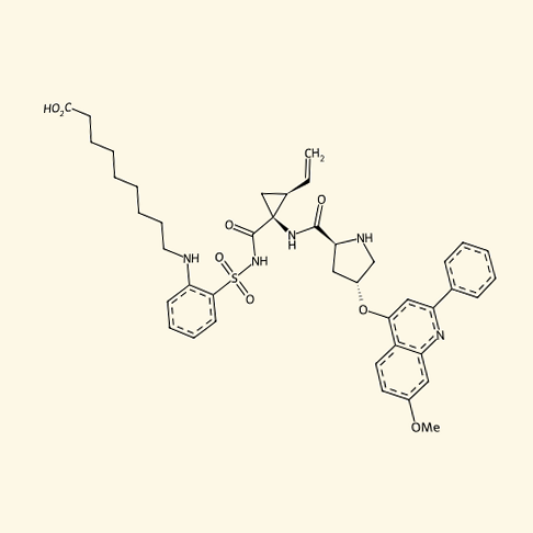 C=C[C@@H]1C[C@@]1(NC(=O)[C@@H]1C[C@@H](Oc2cc(-c3ccccc3)nc3cc(OC)ccc23)CN1)C(=O)NS(=O)(=O)c1ccccc1NCCCCCCCCC(=O)O